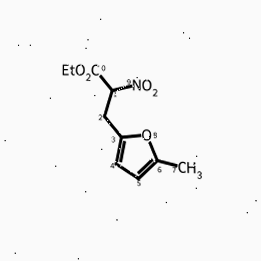 CCOC(=O)C(Cc1ccc(C)o1)[N+](=O)[O-]